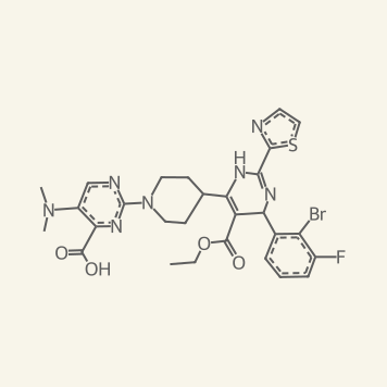 CCOC(=O)C1=C(C2CCN(c3ncc(N(C)C)c(C(=O)O)n3)CC2)NC(c2nccs2)=NC1c1cccc(F)c1Br